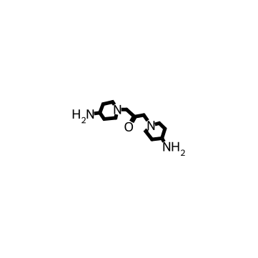 NC1CCN(CC(=O)CN2CCC(N)CC2)CC1